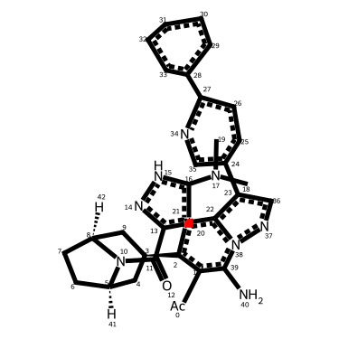 CC(=O)c1c([C@H]2C[C@H]3CC[C@@H](C2)N3C(=O)c2n[nH]c(N(C)C)n2)nc2c(-c3ccc(-c4ccccc4)nc3)cnn2c1N